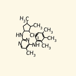 Cc1cnc(NC2CC(C)C(C)C2C)nc1Nc1ccc(C)c(C)c1C